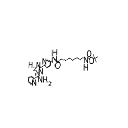 CC(C)(C)OC(=O)NCCCCCCCC(=O)Nc1ccc(/C(N)=N/N=C(\N)c2ccccn2)nc1